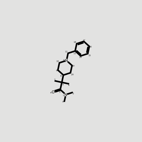 CN(C)C(=O)C(C)(C)C1CCN(Cc2ccccc2)CC1